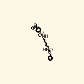 O=C(NCCCCCCNC(=O)Oc1ccc([N+](=O)[O-])cc1)OCc1ccccc1